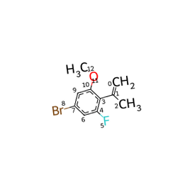 C=C(C)c1c(F)cc(Br)cc1OC